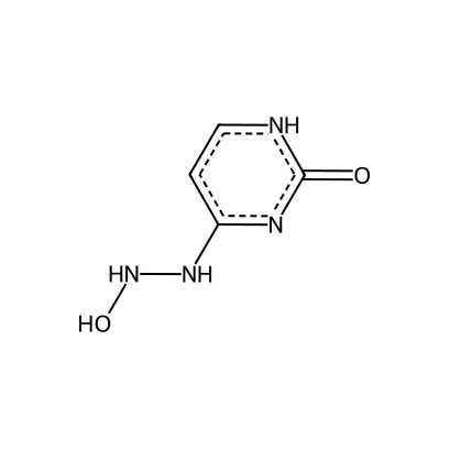 O=c1nc(NNO)cc[nH]1